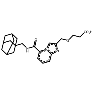 O=C(O)CCSCc1cn2c(C(=O)NCC34CC5CC(CC(C5)C3)C4)cccc2n1